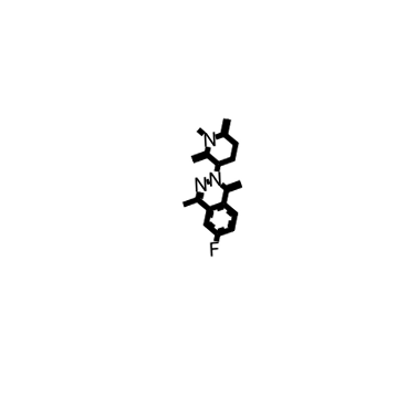 C=C1CCC(N2N=C(C)c3cc(F)ccc3C2=C)C(=C)N1C